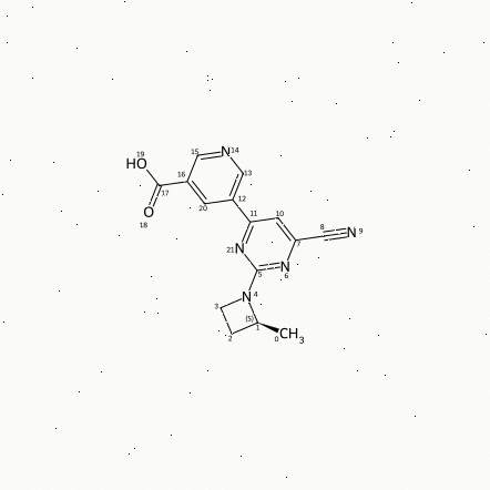 C[C@H]1CCN1c1nc(C#N)cc(-c2cncc(C(=O)O)c2)n1